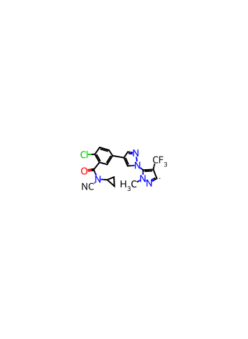 Cn1n[c]c(C(F)(F)F)c1-n1cc(-c2ccc(Cl)c(C(=O)N(C#N)C3CC3)c2)cn1